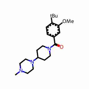 COc1cc(C(=O)N2CCC(N3CCN(C)CC3)CC2)ccc1C(C)(C)C